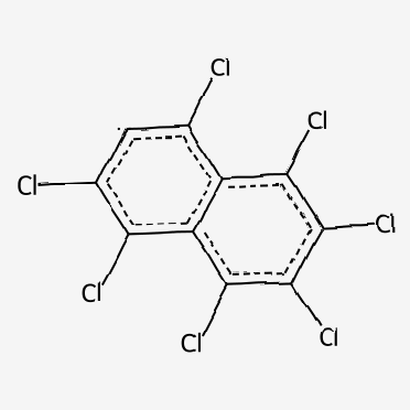 Clc1[c]c(Cl)c2c(Cl)c(Cl)c(Cl)c(Cl)c2c1Cl